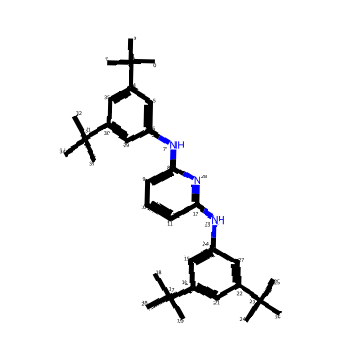 CC(C)(C)c1cc(Nc2cccc(Nc3cc(C(C)(C)C)cc(C(C)(C)C)c3)n2)cc(C(C)(C)C)c1